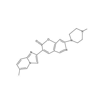 Cc1ccc2nc(-c3cc4cnc(N5CCN(C)CC5)cc4oc3=O)cn2c1